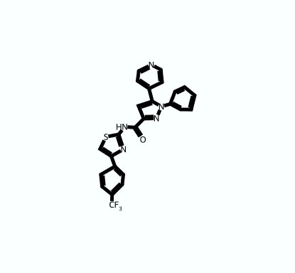 O=C(Nc1nc(-c2ccc(C(F)(F)F)cc2)cs1)c1cc(-c2ccncc2)n(-c2ccccc2)n1